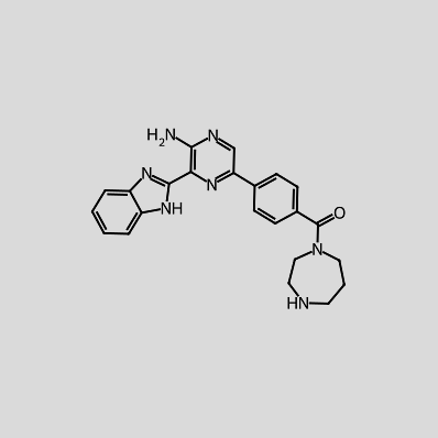 Nc1ncc(-c2ccc(C(=O)N3CCCNCC3)cc2)nc1-c1nc2ccccc2[nH]1